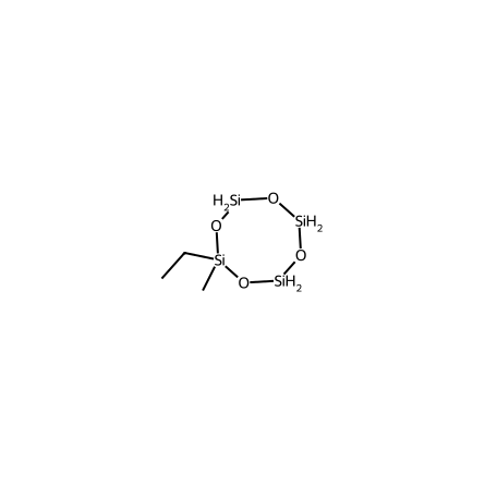 CC[Si]1(C)O[SiH2]O[SiH2]O[SiH2]O1